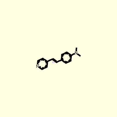 CN(C)c1ccc(/C=C/c2ccncc2)cc1